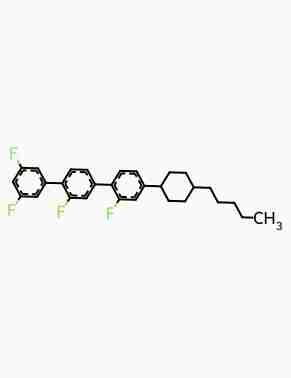 CCCCCC1CCC(c2ccc(-c3ccc(-c4cc(F)cc(F)c4)c(F)c3)c(F)c2)CC1